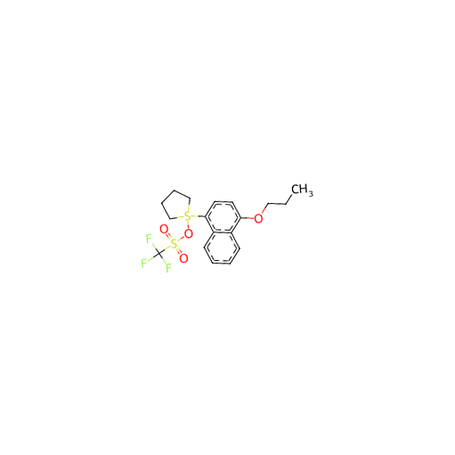 CCCOc1ccc(S2(OS(=O)(=O)C(F)(F)F)CCCC2)c2ccccc12